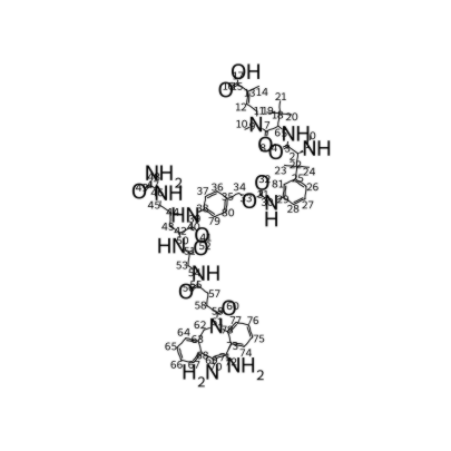 CN[C@H](C(=O)NC(C(=O)N(C)C/C=C(\C)C(=O)O)C(C)(C)C)C(C)(C)c1cccc(NC(=O)OCc2ccc(NC(=O)[C@H](CCCNC(N)=O)NC(=O)CNC(=O)CCC(=O)N3Cc4ccccc4/C(N)=C(/N)c4ccccc43)cc2)c1